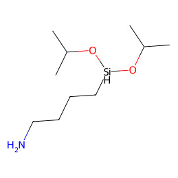 CC(C)O[SiH](CCCCN)OC(C)C